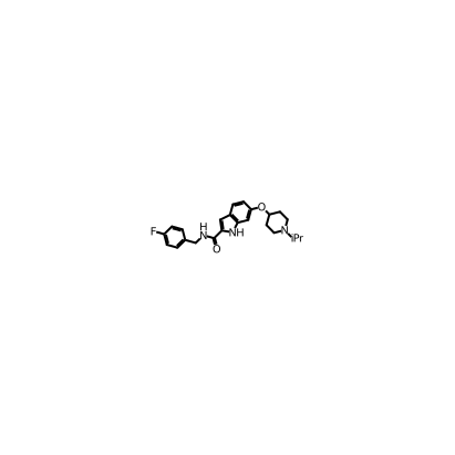 CC(C)N1CCC(Oc2ccc3cc(C(=O)NCc4ccc(F)cc4)[nH]c3c2)CC1